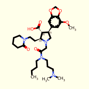 CCCCN(CCCN(C)C)C(=O)CN1C[C@H](c2cc(OC)c3c(c2)OCO3)[C@@H](C(=O)O)[C@@H]1CCN1CCCCC1=O